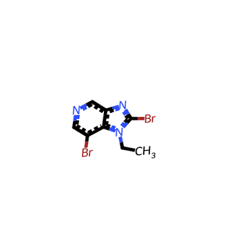 CCn1c(Br)nc2cncc(Br)c21